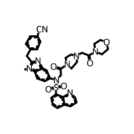 Cn1c(Cc2ccc(C#N)cc2)nc2cc(N(CC(=O)N3CCN(CC(=O)N4CCOCC4)CC3)S(=O)(=O)c3cccc4cccnc34)ccc21